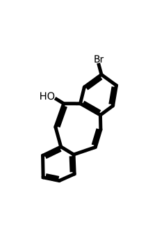 OC1=Cc2ccccc2/C=C\c2ccc(Br)cc21